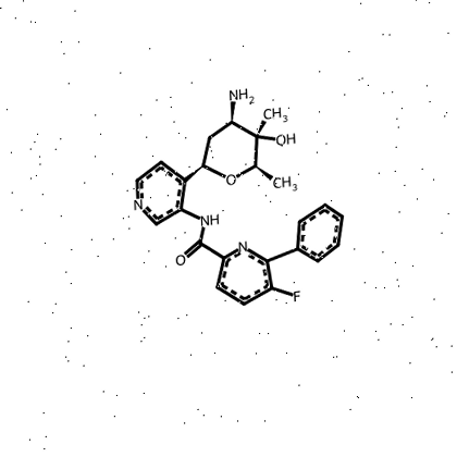 C[C@H]1O[C@@H](c2ccncc2NC(=O)c2ccc(F)c(-c3ccccc3)n2)C[C@@H](N)[C@]1(C)O